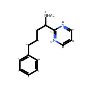 CC(=O)NC(CCCc1ccccc1)c1ncccn1